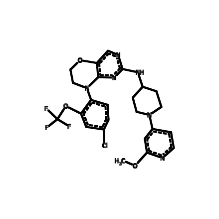 COc1cc(N2CCC(Nc3ncc4c(n3)N(c3ccc(Cl)cc3OC(F)(F)F)CCO4)CC2)ccn1